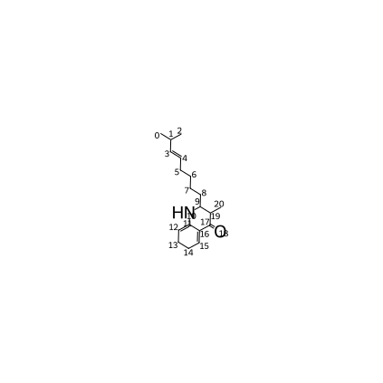 CC(C)/C=C/CCCCC1NC2=CCCC=C2C(=O)C1C